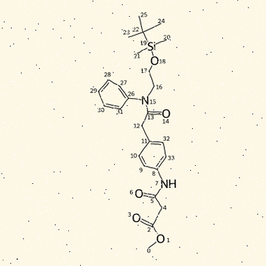 COC(=O)CC(=O)Nc1ccc(CC(=O)N(CCO[Si](C)(C)C(C)(C)C)c2ccccc2)cc1